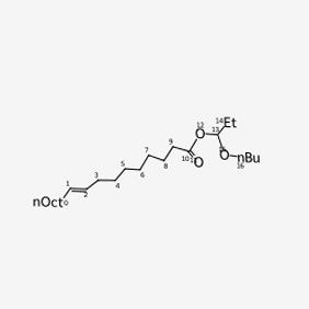 CCCCCCCC/C=C/CCCCCCCC(=O)OC(CC)OCCCC